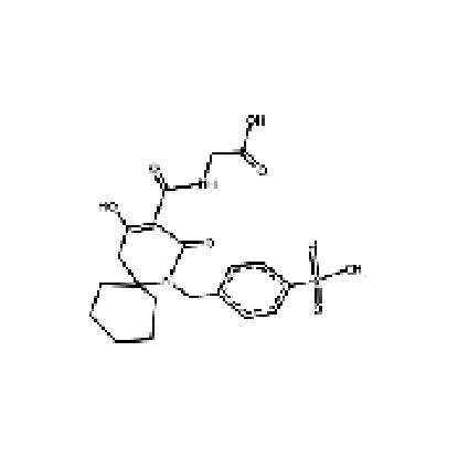 CS(=O)(=O)c1ccc(CN2C(=O)C(C(=O)NCC(=O)O)=C(O)CC23CCCCC3)cc1